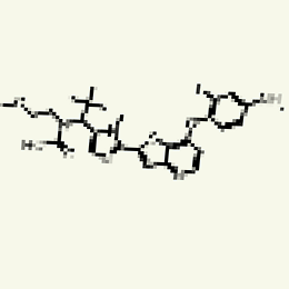 COCCN(C(=O)O)C(c1cnc(-c2cc3nccc(Oc4ccc(N)cc4F)c3s2)n1C)C(C)(C)C